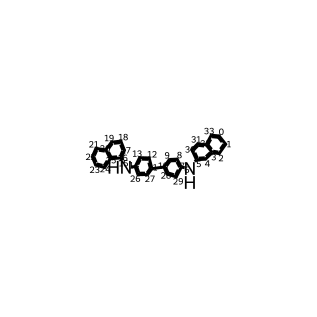 c1ccc2cc(Nc3ccc(-c4ccc(Nc5cccc6ccccc56)cc4)cc3)ccc2c1